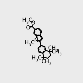 COC(=O)c1ccc2cc(-c3ccc4c(c3)C(C)(C)CCC4(C)C)n(C)c2c1